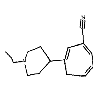 CCN1CCC(C2=CC(C#N)=CC=CC2)CC1